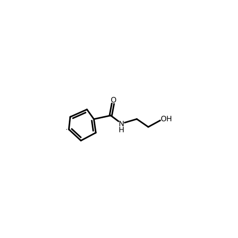 O=C(NCCO)c1cc[c]cc1